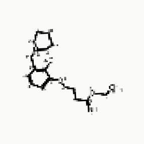 CCOC(=N)CCCOc1cccc(CN2CCCCC2)c1Cl